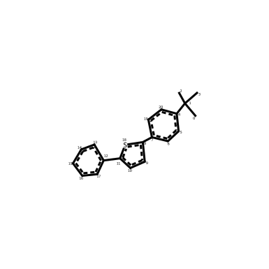 CC(C)(C)c1ccc(-c2ccc(-c3ccccc3)s2)cc1